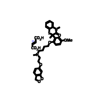 COc1ccc(OCCCCN(C)CCOc2ccc3c(c2)OOC3)c(C2(C)Sc3ccccc3N(C)C2=O)c1.O=C(O)/C=C/C(=O)O